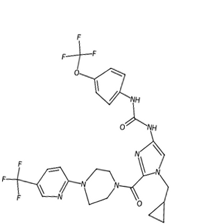 O=C(Nc1ccc(OC(F)(F)F)cc1)Nc1cn(CC2CC2)c(C(=O)N2CCN(c3ccc(C(F)(F)F)cn3)CC2)n1